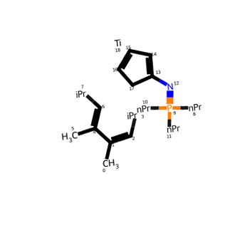 CC(=CC(C)C)C(C)=CC(C)C.CCCP(CCC)(CCC)=NC1=CC=CC1.[Ti]